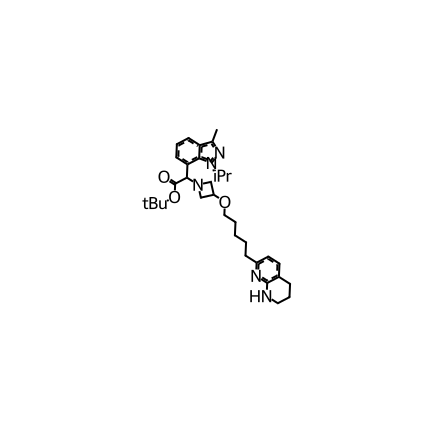 Cc1nn(C(C)C)c2c(C(C(=O)OC(C)(C)C)N3CC(OCCCCCc4ccc5c(n4)NCCC5)C3)cccc12